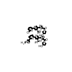 CC(C)Nc1cc(-c2cccc(-c3cnn(C)c3)n2)ncc1-c1nnc(C(=O)N2CC[C@@H](O)C2)s1.CC(C)Nc1cc(-c2cccc(Cl)n2)ncc1-c1nnc(C(=O)N2CC[C@@H](O)C2)s1